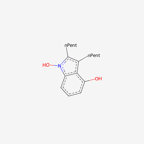 CCCCCc1c(CCCCC)n(O)c2cccc(O)c12